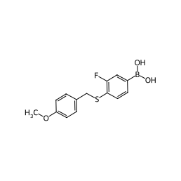 COc1ccc(CSc2ccc(B(O)O)cc2F)cc1